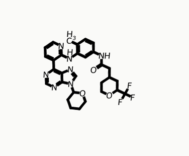 Cc1ccc(NC(=O)CC2CCOC(C(F)(F)F)C2)cc1Nc1ncccc1-c1ncnc2c1ncn2C1CCCCO1